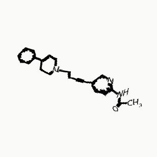 CC(=O)Nc1ccc(C#CCCN2CC=C(c3ccccc3)CC2)cn1